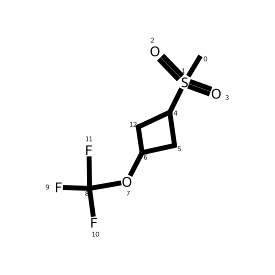 CS(=O)(=O)C1CC(OC(F)(F)F)C1